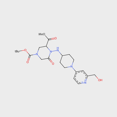 COC(=O)C1CN(C(=O)OC(C)(C)C)CC(=O)N1NC1CCN(c2ccnc(CO)c2)CC1